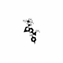 CC1CC1(Nc1ccc(F)cc1)c1ccc2c(n1)C1CC1CN2C(=O)OC(C)(C)C